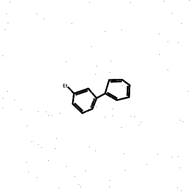 CCc1[c]c(-c2ccccc2)ccc1